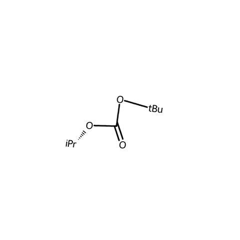 [CH2][C@@H](C)OC(=O)OC(C)(C)C